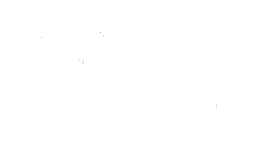 CC(=O)c1nc(-c2ccc(-c3cccc(F)c3)cc2)no1